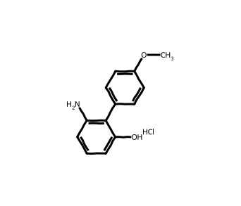 COc1ccc(-c2c(N)cccc2O)cc1.Cl